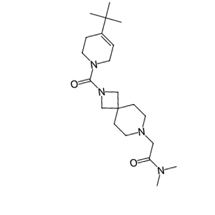 CN(C)C(=O)CN1CCC2(CC1)CN(C(=O)N1CC=C(C(C)(C)C)CC1)C2